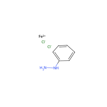 NNc1ccccc1.[Cl-].[Cl-].[Fe+2]